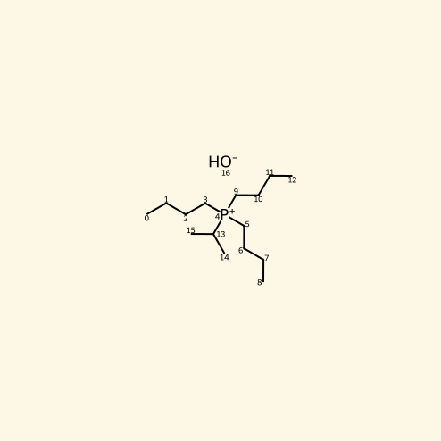 CCCC[P+](CCCC)(CCCC)C(C)C.[OH-]